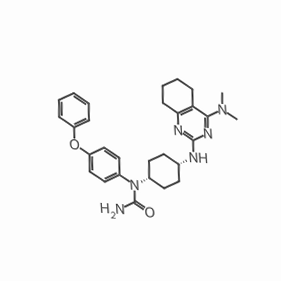 CN(C)c1nc(N[C@H]2CC[C@@H](N(C(N)=O)c3ccc(Oc4ccccc4)cc3)CC2)nc2c1CCCC2